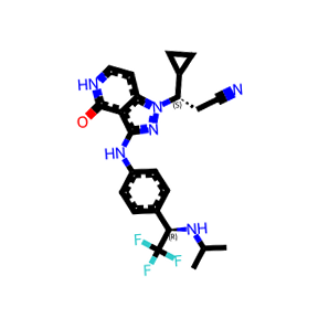 CC(C)N[C@H](c1ccc(Nc2nn([C@@H](CC#N)C3CC3)c3cc[nH]c(=O)c23)cc1)C(F)(F)F